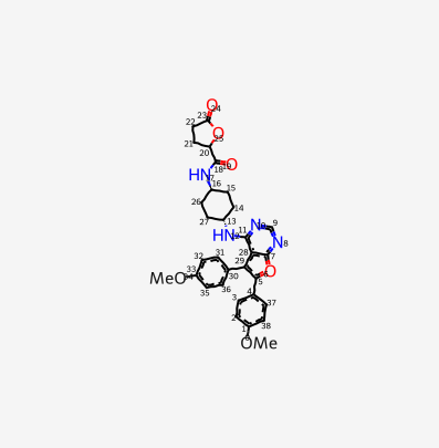 COc1ccc(-c2oc3ncnc(N[C@H]4CC[C@H](NC(=O)C5CCC(=O)O5)CC4)c3c2-c2ccc(OC)cc2)cc1